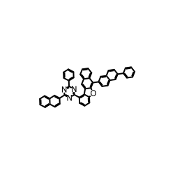 c1ccc(-c2ccc3cc(-c4c5ccccc5cc5c4oc4cccc(-c6nc(-c7ccccc7)nc(-c7ccc8ccccc8c7)n6)c45)ccc3c2)cc1